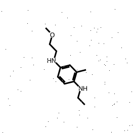 CCNc1ccc(NCCOC)cc1C